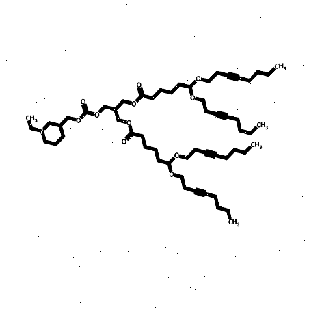 CCCCC#CCCOC(CCCCC(=O)OCC(COC(=O)CCCCC(OCCC#CCCCC)OCCC#CCCCC)COC(=O)OCC1CCCN(CC)C1)OCCC#CCCCC